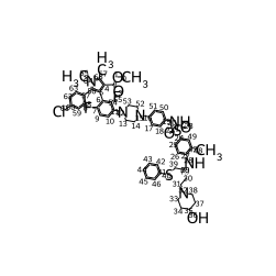 COC(=O)c1c(-c2c(F)ccc(N3CCN(c4ccc(NS(=O)(=O)c5ccc(N[C@H](CCN6CCC(O)CC6)CSc6ccccc6)c(C)c5)cc4)CC3)c2F)c(-c2ccc(Cl)cc2)n(C)c1C